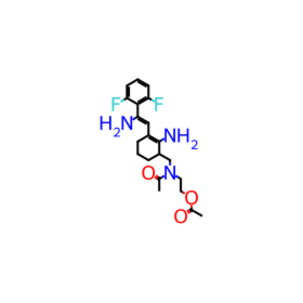 CC(=O)OCCN(CC1CCCC(/C=C(\N)c2c(F)cccc2F)=C1N)C(C)=O